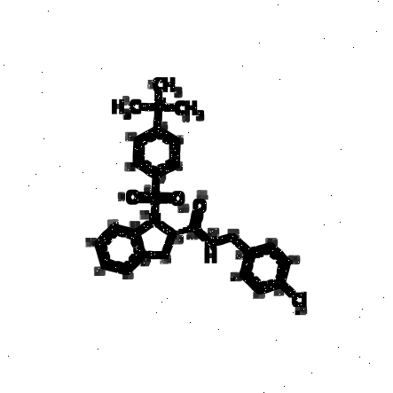 CC(C)(C)c1ccc(S(=O)(=O)N2c3ccccc3C[C@H]2C(=O)NCc2ccc(Cl)cc2)cc1